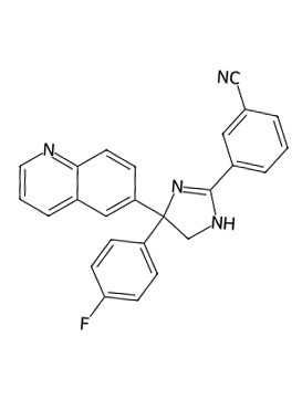 N#Cc1cccc(C2=NC(c3ccc(F)cc3)(c3ccc4ncccc4c3)CN2)c1